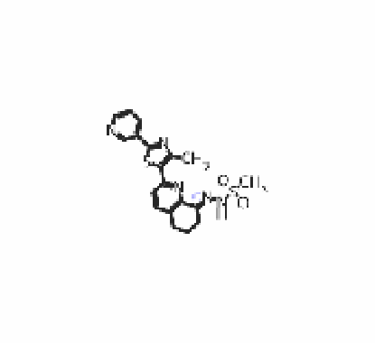 Cc1nc(-c2cccnc2)sc1-c1ccc2c(n1)/C(=N/NS(C)(=O)=O)CCC2